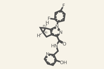 O=C(NCc1ncccc1O)c1nn(-c2ccc(F)cc2F)c2c1C[C@H]1C[C@@H]21